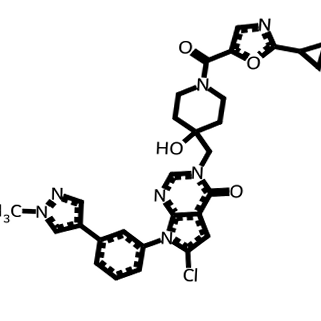 Cn1cc(-c2cccc(-n3c(Cl)cc4c(=O)n(CC5(O)CCN(C(=O)c6cnc(C7CC7)o6)CC5)cnc43)c2)cn1